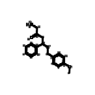 COc1ccc(CSC(CC(=O)CN)c2ccccc2)cc1